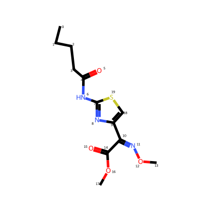 CCCCC(=O)Nc1nc(C(=NOC)C(=O)OC)cs1